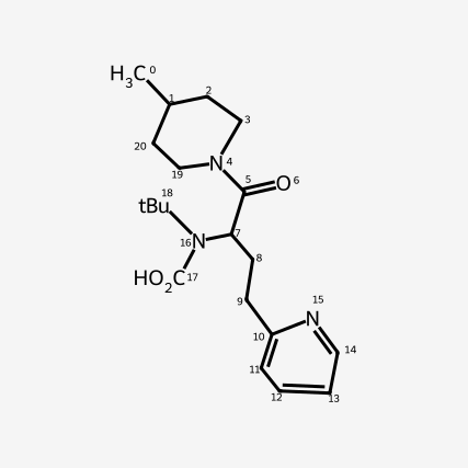 CC1CCN(C(=O)C(CCc2ccccn2)N(C(=O)O)C(C)(C)C)CC1